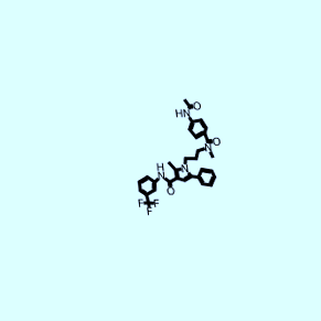 CC(=O)Nc1ccc(C(=O)N(C)CCCn2c(-c3ccccc3)cc(C(=O)Nc3cccc(C(F)(F)F)c3)c2C)cc1